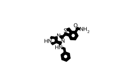 NC(=O)c1cccc2c(-c3nc4c(c(NCc5ccccc5)n3)CNC4)scc12